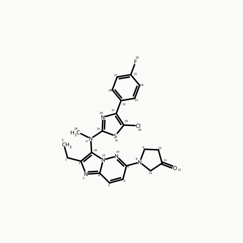 CCc1nc2ccc(N3CCC(=O)C3)nn2c1N(C)c1nc(-c2ccc(F)cc2)c(Cl)s1